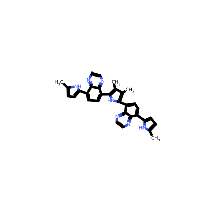 Cc1ccc(-c2ccc(-c3[nH]c(-c4ccc(-c5ccc(C)[nH]5)c5nccnc45)c(C)c3C)c3nccnc23)[nH]1